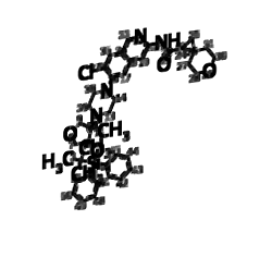 CC(C)(C)[Si](O[C@H]1COC[C@@]1(C)N1CCN(c2cc3cc(NC(=O)[C@H]4CC45CCOCC5)ncc3cc2Cl)CC1)(c1ccccc1)c1ccccc1